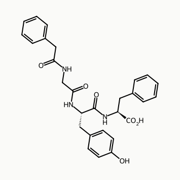 O=C(Cc1ccccc1)NCC(=O)N[C@@H](Cc1ccc(O)cc1)C(=O)N[C@@H](Cc1ccccc1)C(=O)O